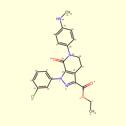 CCOC(=O)c1nn(-c2cccc(Cl)c2)c2c1CCN(c1ccc(NC)cc1)C2=O